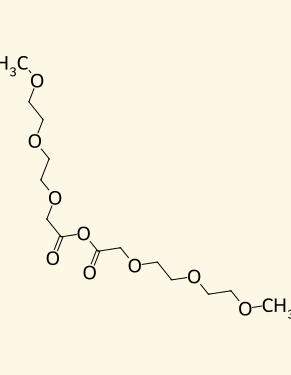 COCCOCCOCC(=O)OC(=O)COCCOCCOC